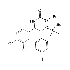 CC(C)(C)OC(=O)NC(c1ccc(Cl)c(Cl)c1)C(O[Si](C)(C)C(C)(C)C)c1ccc(I)cc1